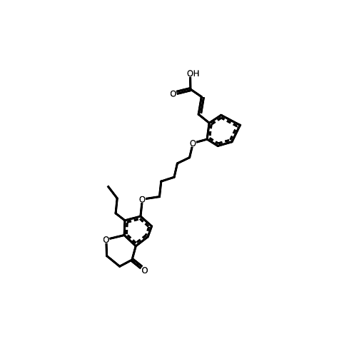 CCCc1c(OCCCCCOc2ccccc2C=CC(=O)O)ccc2c1OCCC2=O